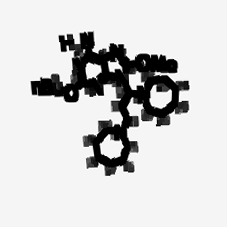 CCCCOc1nc(N)c2nc(OC)n(C(CCN3CCCCCC3)N3CCCCCC3)c2n1